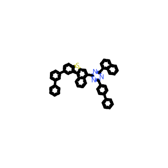 c1ccc(-c2ccc(-c3nc(-c4cccc5ccccc45)nc(-c4cc5sc6ccc(-c7cccc(-c8ccccc8)c7)cc6c5c5ccccc45)n3)cc2)cc1